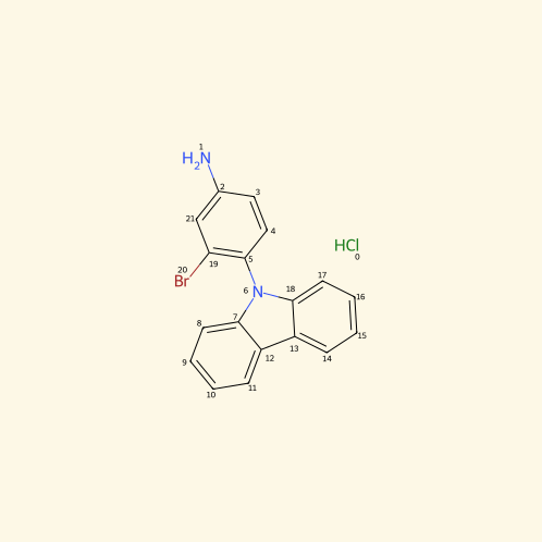 Cl.Nc1ccc(-n2c3ccccc3c3ccccc32)c(Br)c1